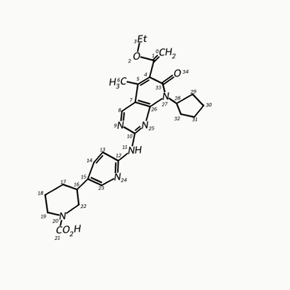 C=C(OCC)c1c(C)c2cnc(Nc3ccc(C4CCCN(C(=O)O)C4)cn3)nc2n(C2CCCC2)c1=O